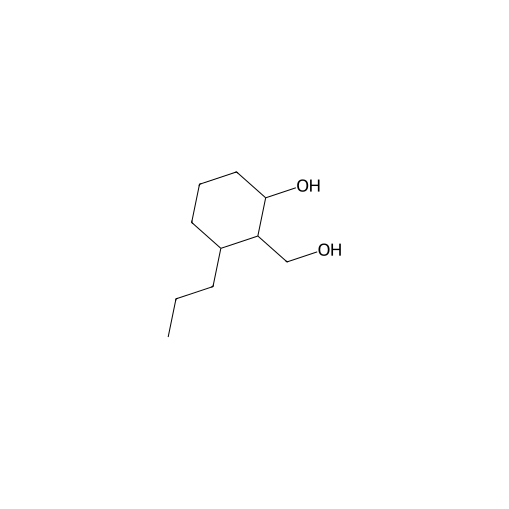 CCCC1CCCC(O)C1CO